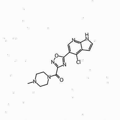 CN1CCN(C(=O)c2noc(-c3cnc4[nH]ccc4c3Cl)n2)CC1